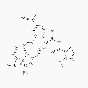 CCn1nc(C)cc1C(=O)Nc1nc2cc(C(N)=O)cc(OCc3ccc(OC)cc3)c2n1C/C=C/COC(N)=O